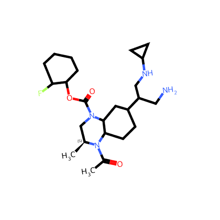 CC(=O)N1C2CCC(C(CN)CNC3CC3)CC2N(C(=O)OC2CCCCC2F)C[C@@H]1C